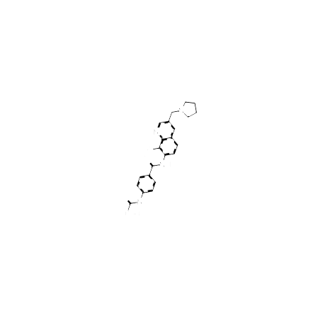 CCCCC(=O)Nc1ccc(C(=O)Nc2ccc3cc(CN4CCCC4)cnc3c2C)cc1